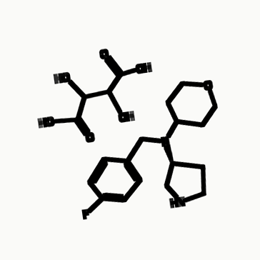 Fc1ccc(CN(C2CCOCC2)[C@H]2CCNC2)cc1.O=C(O)C(O)C(O)C(=O)O